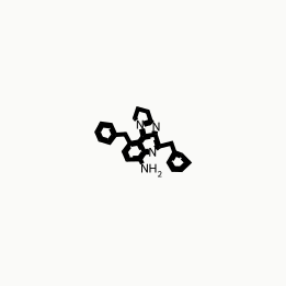 Nc1ccc(Cc2ccccc2)c2c1nc(Cc1ccccc1)c1nc3n(c12)CCC3